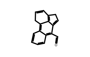 O=Cc1c2c3c(c4ccccc14)CC=CC=3CC=2